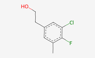 Cc1cc(CCO)cc(Cl)c1F